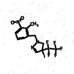 Cc1c(CN2CC(I)(C(F)(F)C(F)(F)F)C=N2)cccc1[N+](=O)[O-]